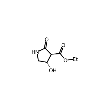 CCOC(=O)[C@@H]1C(=O)NC[C@H]1O